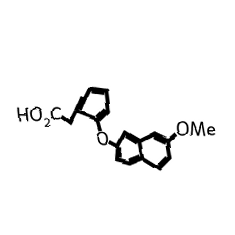 COc1ccc2ccc(Oc3ccccc3CC(=O)O)cc2c1